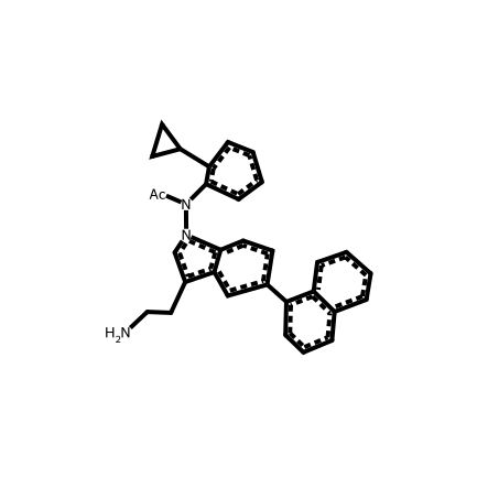 CC(=O)N(c1ccccc1C1CC1)n1cc(CCN)c2cc(-c3cccc4ccccc34)ccc21